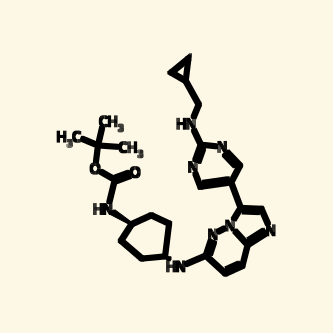 CC(C)(C)OC(=O)N[C@H]1CC[C@H](Nc2ccc3ncc(-c4cnc(NCC5CC5)nc4)n3n2)CC1